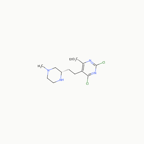 CCOC(=O)c1nc(Cl)nc(Cl)c1CC[C@H]1CN(C)CCN1